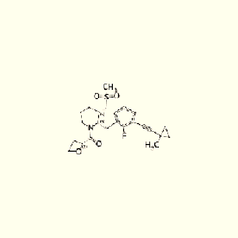 CC1(C#Cc2cccc(C[C@H]3[C@@H](CS(C)(=O)=O)CCCN3C(=O)[C@H]3CCO3)c2F)CC1